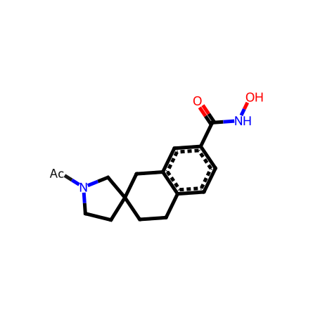 CC(=O)N1CCC2(CCc3ccc(C(=O)NO)cc3C2)C1